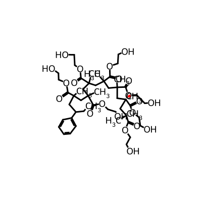 CCC(CC(C)(CC(C)(CC(C)(CC(C)(CC(C)(CC(C)(CC(C)(C)C(=O)OCCO)C(=O)OCCO)C(=O)OCCO)C(=O)OCCO)C(=O)OCCO)C(=O)OCCO)C(=O)OCCO)c1ccccc1